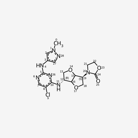 Cn1cc(Nc2ncc(Cl)c(N[C@@H]3COC4C3OC[C@@H]4N3CCOC3=O)n2)cn1